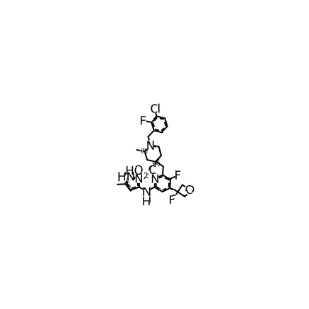 Cc1cc(Nc2cc(C3(F)COC3)c(F)c(C[C@@]3(C(=O)O)CCN(Cc4cccc(Cl)c4F)[C@H](C)C3)n2)n[nH]1